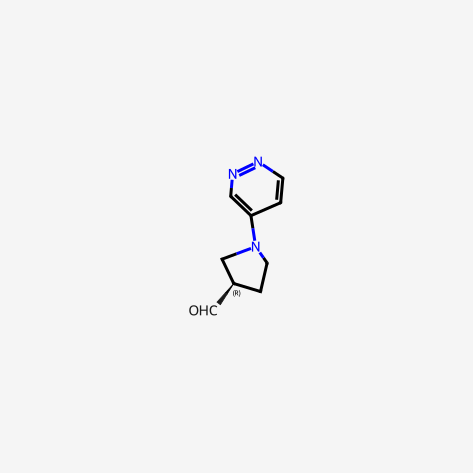 O=C[C@@H]1CCN(c2ccnnc2)C1